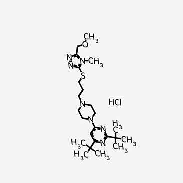 COCc1nnc(SCCCN2CCN(c3cc(C(C)(C)C)nc(C(C)(C)C)n3)CC2)n1C.Cl